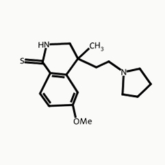 COc1ccc2c(c1)C(C)(CCN1CCCC1)CNC2=S